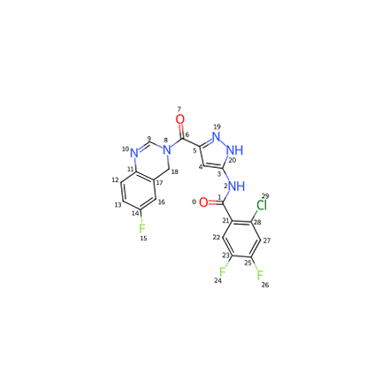 O=C(Nc1cc(C(=O)N2C=Nc3ccc(F)cc3C2)n[nH]1)c1cc(F)c(F)cc1Cl